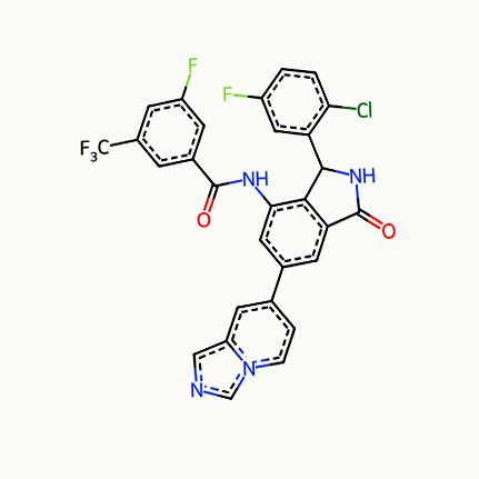 O=C(Nc1cc(-c2ccn3cncc3c2)cc2c1C(c1cc(F)ccc1Cl)NC2=O)c1cc(F)cc(C(F)(F)F)c1